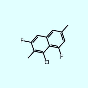 Cc1cc(F)c2c(Cl)c(C)c(F)cc2c1